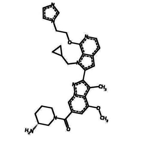 COc1cc(C(=O)N2CCC[C@@H](N)C2)cn2nc(-c3cc4ccnc(OCCn5ccnc5)c4n3CC3CC3)c(C)c12